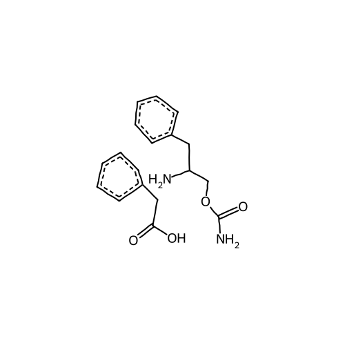 NC(=O)OCC(N)Cc1ccccc1.O=C(O)Cc1ccccc1